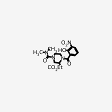 CCOC(=O)C1CN(C(=O)N(C)C)CCN1C(=O)c1cccc([N+](=O)[O-])c1O